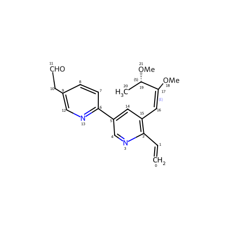 C=Cc1ncc(-c2ccc(CC=O)cn2)cc1/C=C(/OC)[C@H](C)OC